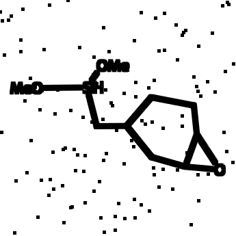 CO[SiH](CC1CCC2OC2C1)OC